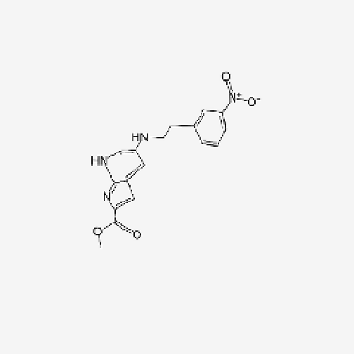 COC(=O)c1cc2cc(NCCc3cccc([N+](=O)[O-])c3)c[nH]c-2n1